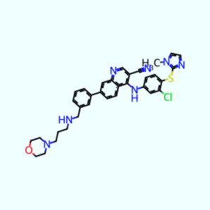 Cn1ccnc1Sc1ccc(Nc2c(C#N)cnc3cc(-c4cccc(CNCCCN5CCOCC5)c4)ccc23)cc1Cl